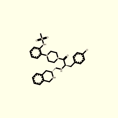 CS(=O)(=O)Nc1ccccc1N1CCN(C(=O)[C@@H](Cc2ccc(Cl)cc2)NC[C@H]2Cc3ccccc3CN2)CC1